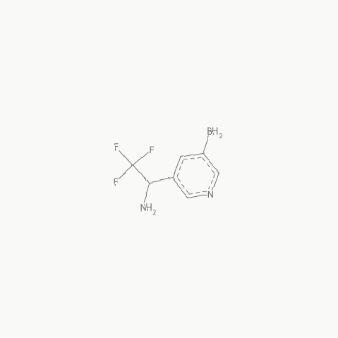 Bc1cncc(C(N)C(F)(F)F)c1